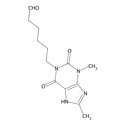 Cc1nc2c([nH]1)c(=O)n(CCCCCC=O)c(=O)n2C